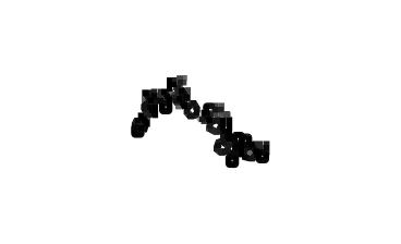 CN(C[C@H]1CC[C@H](n2cc(NC(=O)C3=C4N=C(N5CCOCC5)C=C4N=C3)c(C(F)F)n2)CC1)[C@H]1CC[C@H](Nc2cccc3c2C(=O)N(C2CCC(=O)NC2=O)C3=O)CC1